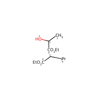 CCOC(=O)C(C)O.CCOC(=O)CC(C)C